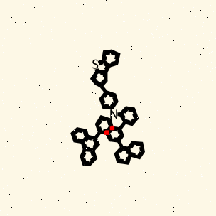 c1cc(-c2ccccc2N(c2ccc(-c3ccc4sc5ccccc5c4c3)cc2)c2ccc(-c3cc4ccccc4c4ccccc34)cc2)cc(-c2cccc3ccccc23)c1